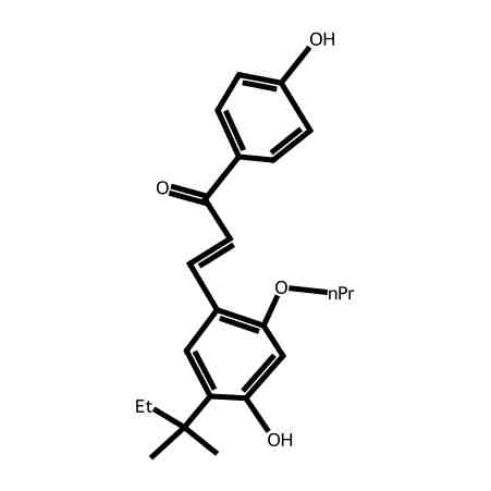 CCCOc1cc(O)c(C(C)(C)CC)cc1/C=C/C(=O)c1ccc(O)cc1